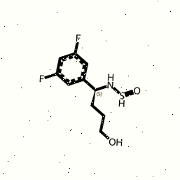 O=[SH]N[C@@H](CCCO)c1cc(F)cc(F)c1